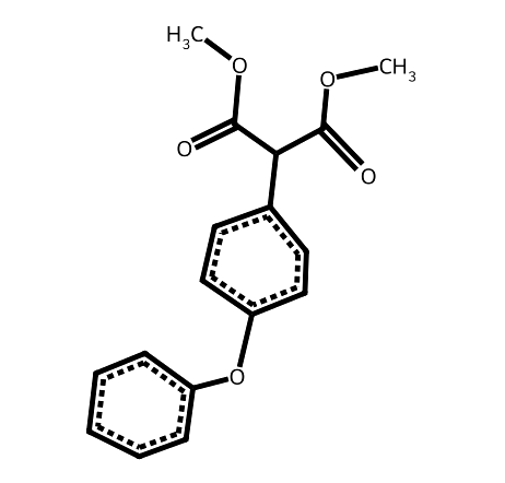 COC(=O)C(C(=O)OC)c1ccc(Oc2ccccc2)cc1